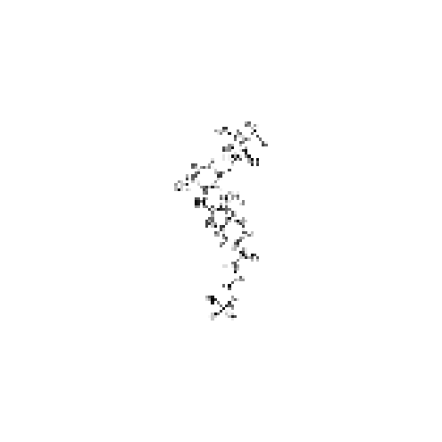 Cn1c(Nc2cc(CNC(=O)C3(C(F)(F)F)CC3)ccc2Cl)nc2cc(C(=O)NCCCC(F)(F)F)ccc21